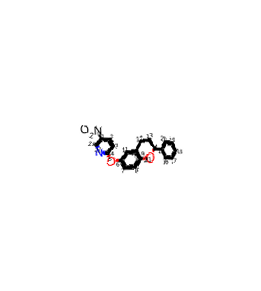 O=[N+]([O-])c1ccc(Oc2ccc3c(c2)CCC(c2ccccc2)O3)nc1